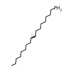 CCCCCCCC/C=C/CCCCCCCP